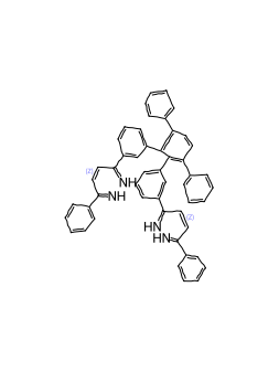 N=C(/C=C\C(=N)c1cccc(-c2c(-c3ccccc3)ccc(-c3ccccc3)c2-c2cccc(C(=N)/C=C\C(=N)c3ccccc3)c2)c1)c1ccccc1